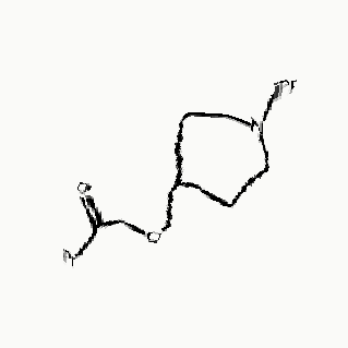 CC(C)C(=O)OC1CCN(C(C)C)CC1